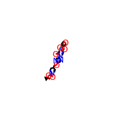 CC1(OC(=O)N2CCC(COc3cnc(N4CCN(S(=O)(=O)[C@H]5CCOC5)CC4=O)cn3)CC2)CC1